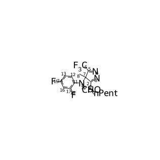 CCCCCSC1=NN=C(C(F)(F)F)C1(C)N(C=O)c1ccc(F)cc1F